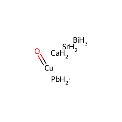 [BiH3].[CaH2].[O]=[Cu].[PbH2].[SrH2]